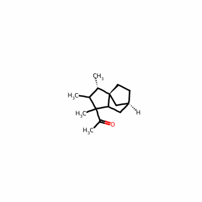 CC(=O)C1(C)C(C)[C@H](C)[C@@]23CC[C@@H](CC12)C3